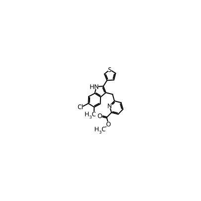 COC(=O)c1cccc(Cc2c(-c3ccsc3)[nH]c3cc(Cl)c(C)cc23)n1